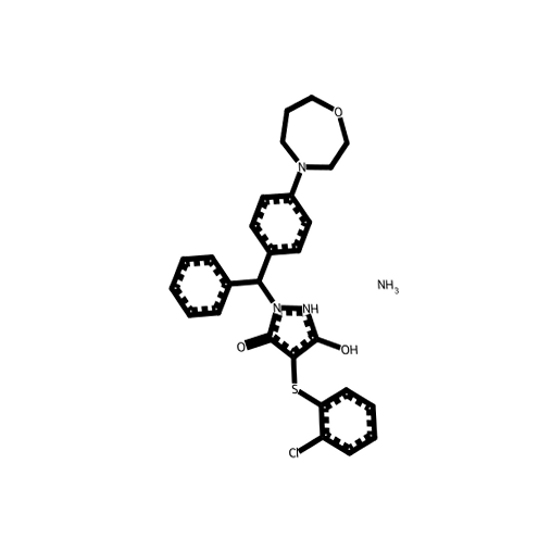 N.O=c1c(Sc2ccccc2Cl)c(O)[nH]n1C(c1ccccc1)c1ccc(N2CCCOCC2)cc1